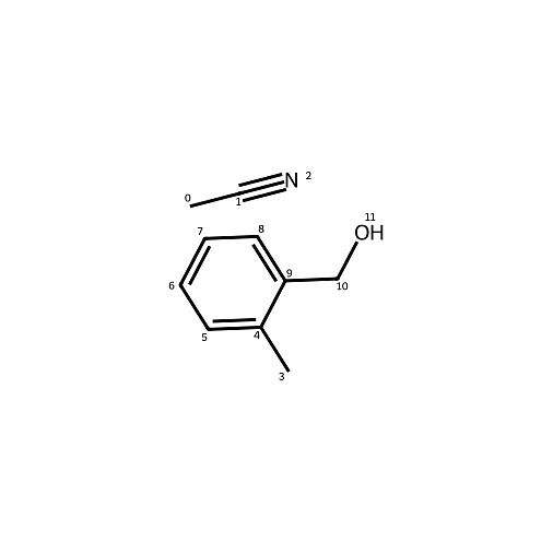 CC#N.Cc1ccccc1CO